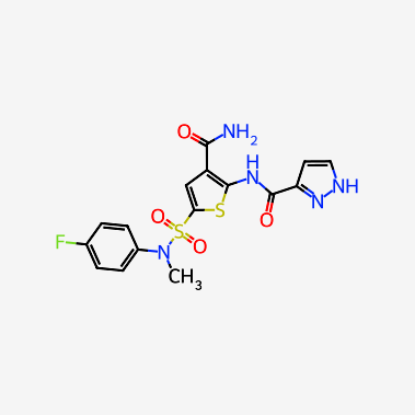 CN(c1ccc(F)cc1)S(=O)(=O)c1cc(C(N)=O)c(NC(=O)c2cc[nH]n2)s1